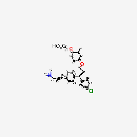 Cc1cc(OCC=C(c2ccc(Cl)cc2)c2ccc(C#CCN(C)C)cc2)ccc1OCC(=O)O